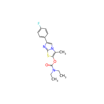 CCN(CC)C(=O)Oc1sc2nc(-c3ccc(F)cc3)cn2c1C